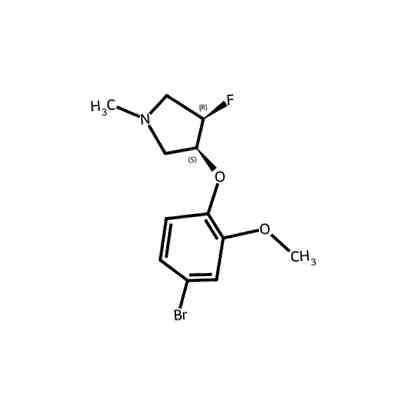 COc1cc(Br)ccc1O[C@H]1CN(C)C[C@H]1F